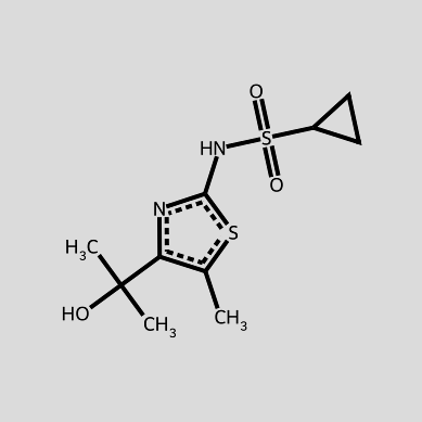 Cc1sc(NS(=O)(=O)C2CC2)nc1C(C)(C)O